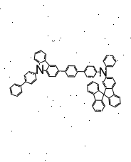 c1ccc(-c2ccc(-n3c4ccccc4c4cc(-c5ccc(-c6ccc(N(c7ccccc7)c7ccc8c(c7)C7(c9ccccc9-c9ccccc97)c7ccccc7-8)cc6)cc5)ccc43)cc2)cc1